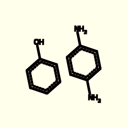 Nc1ccc(N)cc1.Oc1ccccc1